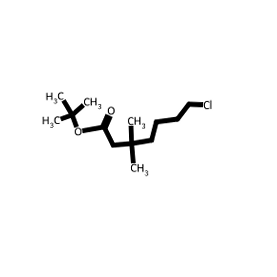 CC(C)(CCCCCl)CC(=O)OC(C)(C)C